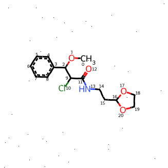 COC(c1ccccc1)C(Cl)C(=O)NCCC1OCCO1